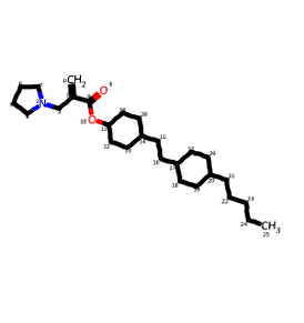 C=C(CN1CCCC1)C(=O)OC1CCC(CCC2CCC(CCCCC)CC2)CC1